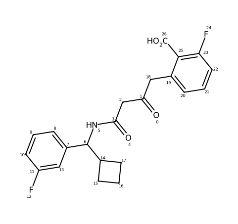 O=C(CC(=O)NC(c1cccc(F)c1)C1CCC1)Cc1cccc(F)c1C(=O)O